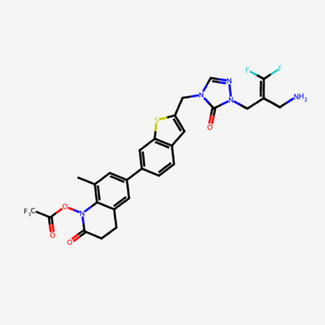 Cc1cc(-c2ccc3cc(Cn4cnn(CC(CN)=C(F)F)c4=O)sc3c2)cc2c1N(OC(=O)C(F)(F)F)C(=O)CC2